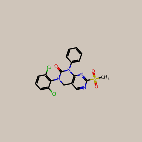 CS(=O)(=O)c1ncc2c(n1)N(c1ccccc1)C(=O)N(c1c(Cl)cccc1Cl)C2